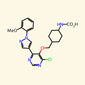 COc1ccccc1-n1cc(-c2ncnc(Cl)c2OCC2CCC(NC(=O)O)CC2)cn1